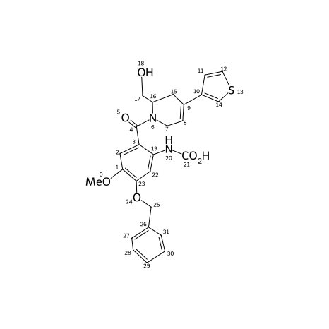 COc1cc(C(=O)N2CC=C(c3ccsc3)CC2CO)c(NC(=O)O)cc1OCc1ccccc1